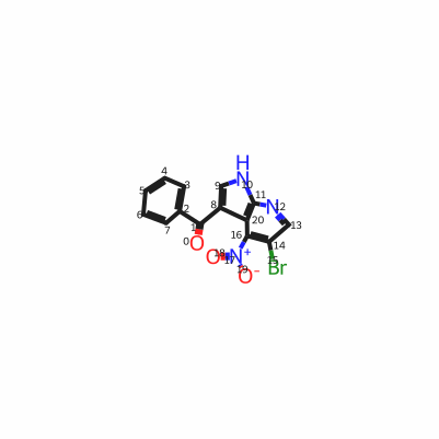 O=C(c1ccccc1)c1c[nH]c2ncc(Br)c([N+](=O)[O-])c12